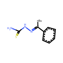 CCCCC(=NNC(N)=S)c1ccccc1